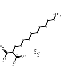 CCCCCCCCCCCC(C(=O)[O-])C(=O)[O-].[K+].[K+]